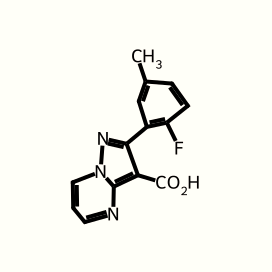 Cc1ccc(F)c(-c2nn3cccnc3c2C(=O)O)c1